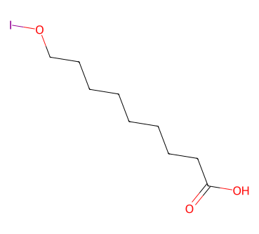 O=C(O)CCCCCCCCOI